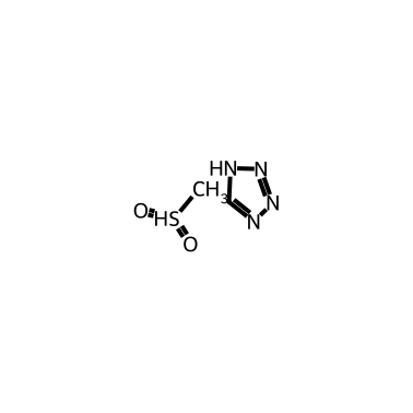 C[SH](=O)=O.c1nnn[nH]1